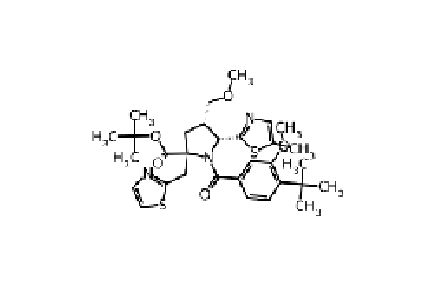 COC[C@H]1C[C@@](Cc2nccs2)(C(=O)OC(C)(C)C)N(C(=O)c2ccc(C(C)(C)C)c(OC)c2)[C@H]1c1ncc(C)s1